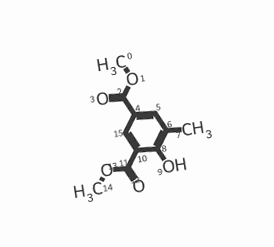 COC(=O)c1cc(C)c(O)c(C(=O)OC)c1